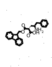 NC(Cc1ccccc1)C[C@H](C(=O)O)C(=O)OCC1c2ccccc2-c2ccccc21